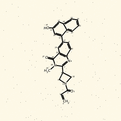 C=CC(=O)N1CC(c2nc3ccc(-c4cc(O)cc5ccccc45)cc3c(=O)n2C)C1